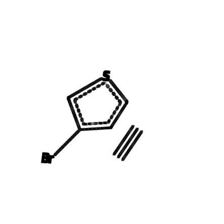 Brc1ccsc1.C#C